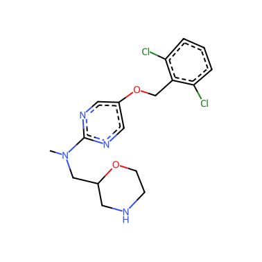 CN(CC1CNCCO1)c1ncc(OCc2c(Cl)cccc2Cl)cn1